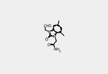 Cc1cc(C)c2c(c1)n(CC=O)c(=O)n2CC(N)=O